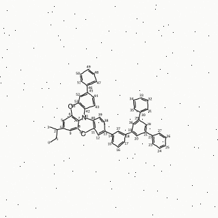 CCC(C)c1cc2c3c(c1)Oc1cc(-c4cccc(-c5cc(-c6ccccc6)cc(-c6ccccc6)c5)c4)ccc1N3c1ccc(-c3ccccc3)cc1O2